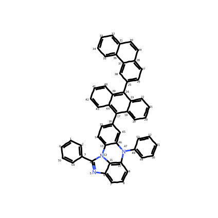 c1ccc(-c2nc3cccc4c3n2-c2ccc(-c3c5ccccc5c(-c5ccc6ccc7ccccc7c6c5)c5ccccc35)cc2N4c2ccccc2)cc1